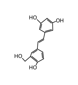 OCc1cc(/C=C/c2cc(O)cc(O)c2)ccc1O